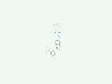 O=C1S/C(=C\c2ccc3c(cnn3Cc3ccc(Cl)cc3C(F)(F)F)c2)C(=O)N1CC1COCCN1